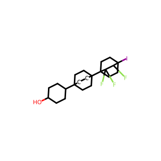 OC1CCC(C23CCC(C45CCC(I)(CC4)C(F)C5(F)F)(CC2)CC3)CC1